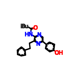 CCC(C)C(=O)Nc1ncc(-c2ccc(O)cc2)nc1CCc1ccccc1